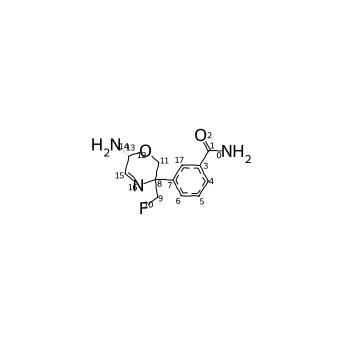 NC(=O)c1cccc(C2(CF)CO[C@@H](N)C=N2)c1